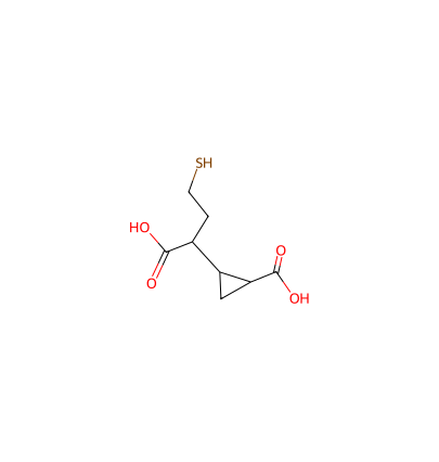 O=C(O)C(CCS)C1CC1C(=O)O